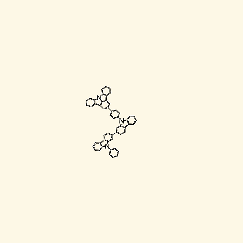 c1ccc(-n2c3ccccc3c3ccc(-c4ccc5c6ccccc6n(-c6ccc(-c7cc8c9ccccc9n9c%10ccccc%10c(c7)c89)cc6)c5c4)cc32)cc1